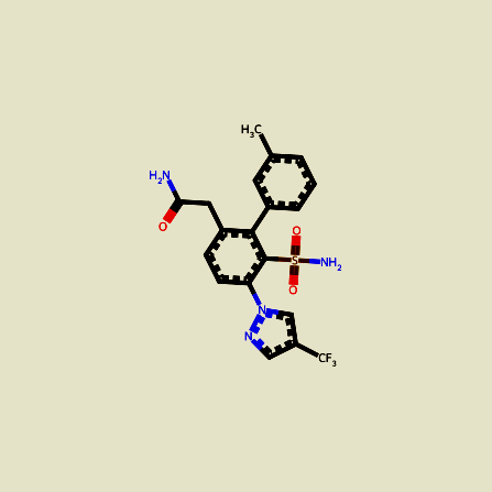 Cc1cccc(-c2c(CC(N)=O)ccc(-n3cc(C(F)(F)F)cn3)c2S(N)(=O)=O)c1